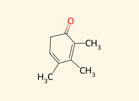 CC1=CCC(=O)C(C)=C1C